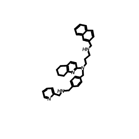 c1ccc(CNCc2ccc(CN(CCCNCc3ccc4ccccc4c3)c3ccc4c(n3)CCCC4)cc2)nc1